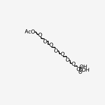 CC(=O)OCCOCCOCCOCCOCCOCCOCCOCCOP(=O)(O)O